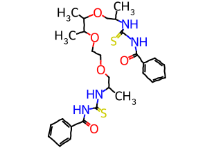 CC(COCCOC(C)C(C)OCC(C)NC(=S)NC(=O)c1ccccc1)NC(=S)NC(=O)c1ccccc1